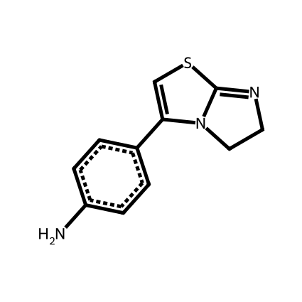 Nc1ccc(C2=CSC3=NCCN23)cc1